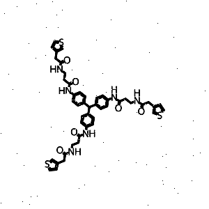 O=C(Cc1ccsc1)NCCC(=O)Nc1ccc(C(c2ccc(NC(=O)CCNC(=O)Cc3ccsc3)cc2)c2ccc(NC(=O)CCNC(=O)Cc3ccsc3)cc2)cc1